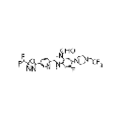 CN(C=O)c1cc(N2CCN(CC(F)(F)F)CC2)c(F)cc1N(C)Cc1ccc(-c2nnc(C(F)F)o2)cn1